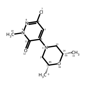 C[C@@H]1CN(c2cc(Cl)nn(C)c2=O)C[C@H](C)O1